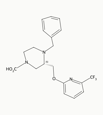 O=C(O)N1CCN(Cc2ccccc2)[C@H](COc2cccc(C(F)(F)F)n2)C1